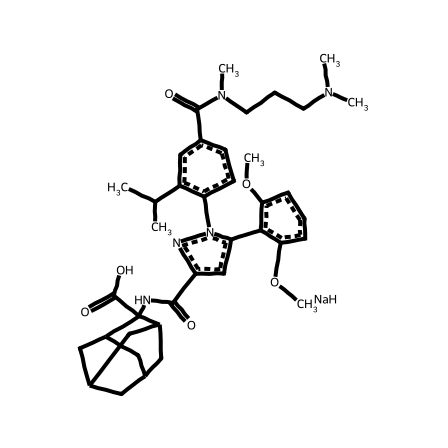 COc1cccc(OC)c1-c1cc(C(=O)NC2(C(=O)O)C3CC4CC(C3)CC2C4)nn1-c1ccc(C(=O)N(C)CCCN(C)C)cc1C(C)C.[NaH]